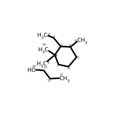 CCC1C(C)CCCC1(C)C.CCCO